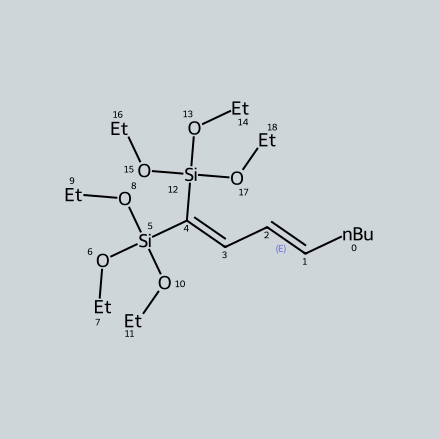 CCCC/C=C/C=C([Si](OCC)(OCC)OCC)[Si](OCC)(OCC)OCC